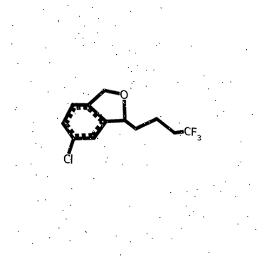 FC(F)(F)CCCC1OCc2ccc(Cl)[c]c21